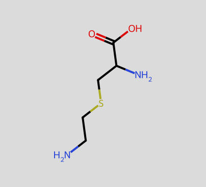 NCCSCC(N)C(=O)O